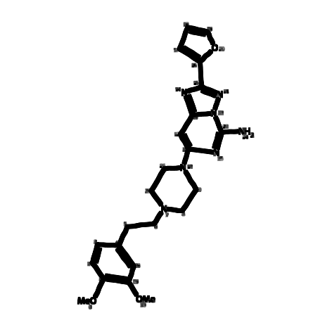 COc1ccc(CCN2CCN(c3cc4nc(-c5ccco5)nn4c(N)n3)CC2)cc1OC